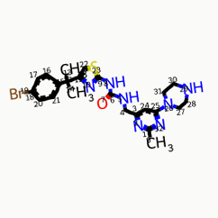 Cc1nc(CNC(=O)Nc2nc(C(C)(C)c3ccc(Br)cc3)cs2)cc(N2CCNCC2)n1